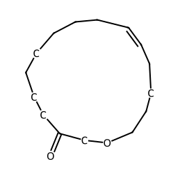 O=C1CCCCCCCC=CCCCCOC1